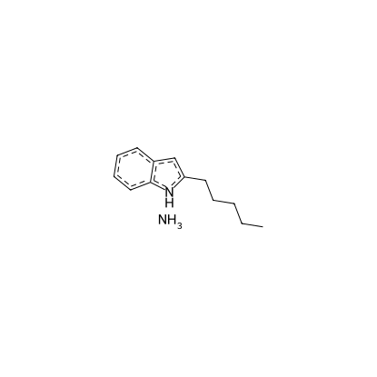 CCCCCc1cc2ccccc2[nH]1.N